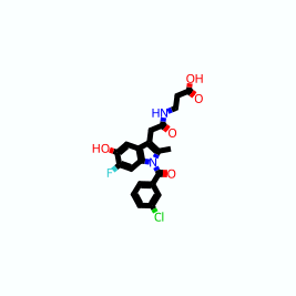 Cc1c(CC(=O)NCCC(=O)O)c2cc(O)c(F)cc2n1C(=O)c1cccc(Cl)c1